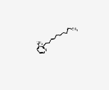 CCCCCCCCCCc1ncccc1C